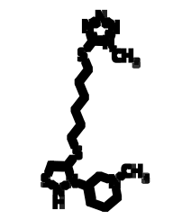 CN1CCC=C(N2NSC=C2SCCCCCCSc2nnnn2C)C1